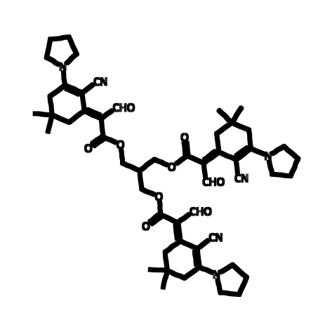 CC1(C)CC(N2CCCC2)=C(C#N)/C(=C(\C=O)C(=O)OCC(COC(=O)/C(C=O)=C2\CC(C)(C)CC(N3CCCC3)=C2C#N)COC(=O)/C(C=O)=C2\CC(C)(C)CC(N3CCCC3)=C2C#N)C1